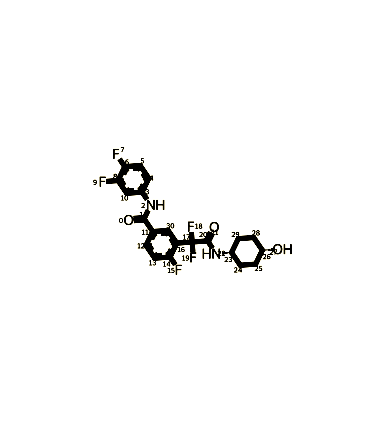 O=C(Nc1ccc(F)c(F)c1)c1ccc(F)c(C(F)(F)C(=O)N[C@H]2CC[C@@H](O)CC2)c1